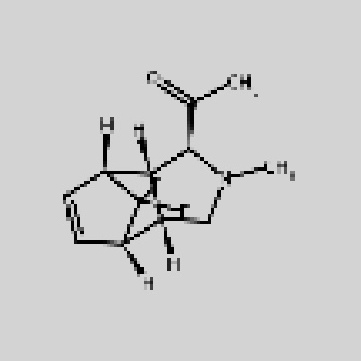 CC(=O)[C@@H]1[C@@H]2[C@H](CN1C)[C@@H]1C=C[C@H]2C1(F)F